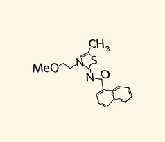 COCCn1cc(C)s/c1=N\C(=O)c1cccc2ccccc12